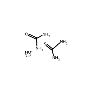 NC(N)=O.NC(N)=S.[Na+].[OH-]